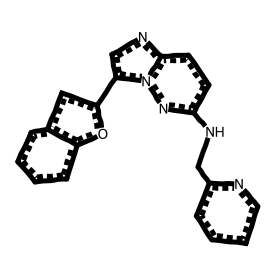 c1ccc(CNc2ccc3ncc(-c4cc5ccccc5o4)n3n2)nc1